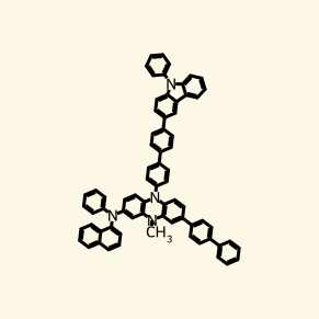 CN1c2cc(-c3ccc(-c4ccccc4)cc3)ccc2N(c2ccc(-c3ccc(-c4ccc5c(c4)c4ccccc4n5-c4ccccc4)cc3)cc2)c2ccc(N(c3ccccc3)c3cccc4ccccc34)cc21